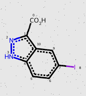 O=C(O)c1n[nH]c2ccc(I)cc12